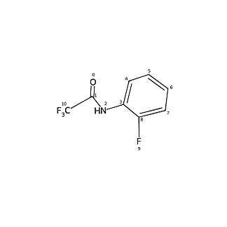 O=C(Nc1ccccc1F)C(F)(F)F